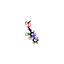 CC(=O)OCC#Cc1cnn(C2CCCCO2)c(=O)c1Cl